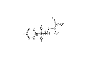 O=[N+]([O-])C(Br)CNS(=O)(=O)c1ccccc1